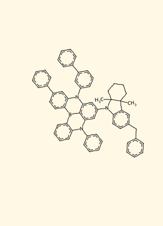 CC12CCCCC1(C)N(c1cc3c4c(c1)N(c1cccc(-c5ccccc5)c1)c1cc(-c5ccccc5)ccc1B4c1ccccc1N3c1ccccc1)c1ccc(Cc3ccccc3)cc12